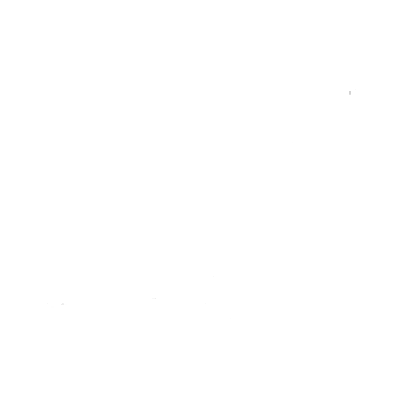 CCCCCC=CC(=O)Oc1ccc(-c2ccc(-c3ccc(CCC)cc3)cc2)s1